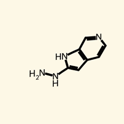 NNc1cc2ccncc2[nH]1